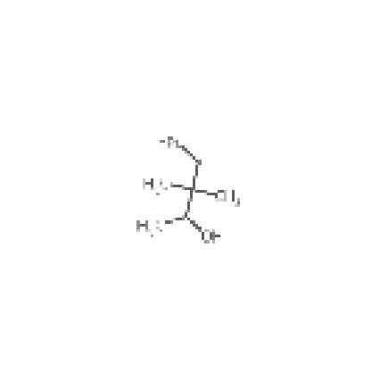 CCCCC(C)(C)C(C)O